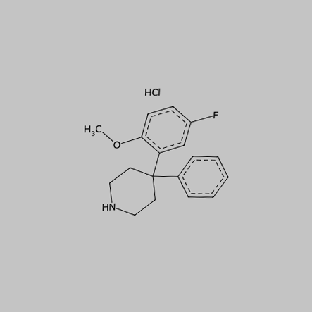 COc1ccc(F)cc1C1(c2ccccc2)CCNCC1.Cl